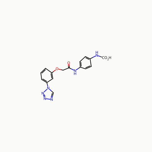 O=C(O)Nc1ccc(NC(=O)COc2cccc(-n3cnnn3)c2)cc1